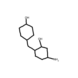 NC1CCC(CC2CCC(O)CC2)C(O)C1